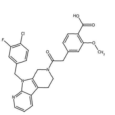 COc1cc(CC(=O)N2CCc3c(n(Cc4ccc(Cl)c(F)c4)c4ncccc34)C2)ccc1C(=O)O